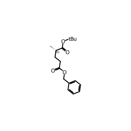 C[C@@H](CCC(=O)OCc1ccccc1)C(=O)OC(C)(C)C